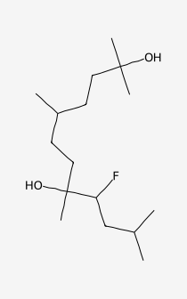 CC(C)CC(F)C(C)(O)CCC(C)CCC(C)(C)O